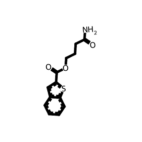 NC(=O)CCCOC(=O)c1cc2ccccc2s1